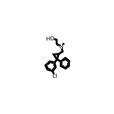 CN(CCO)CC1CC1(c1ccccc1)c1cccc(Cl)c1